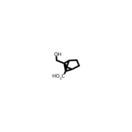 O=C(O)C1=C(CO)C2CCC1C2